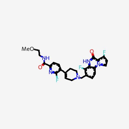 COCCNC(=O)c1ccc(C2=CCN(Cc3ccc4c([nH]c(=O)c5c(F)ccn54)c3F)CC2)c(F)n1